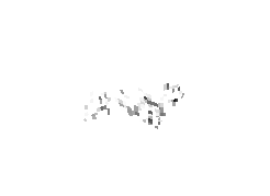 CN1CCc2nc(C(=O)NC(CNC(=O)C(=O)Nc3ccc(Cl)cn3)Cc3cscn3)sc2C1